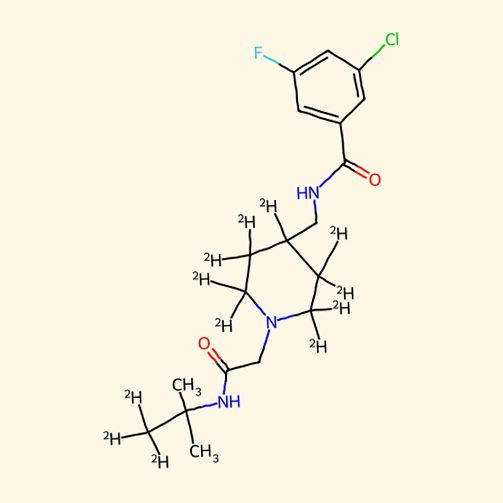 [2H]C([2H])([2H])C(C)(C)NC(=O)CN1C([2H])([2H])C([2H])([2H])C([2H])(CNC(=O)c2cc(F)cc(Cl)c2)C([2H])([2H])C1([2H])[2H]